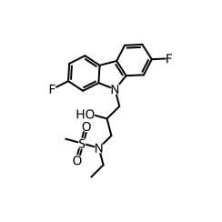 CCN(CC(O)Cn1c2cc(F)ccc2c2ccc(F)cc21)S(C)(=O)=O